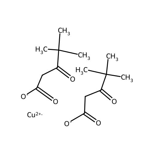 CC(C)(C)C(=O)CC(=O)[O-].CC(C)(C)C(=O)CC(=O)[O-].[Cu+2]